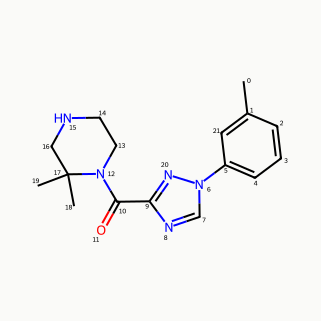 Cc1cccc(-n2cnc(C(=O)N3CCNCC3(C)C)n2)c1